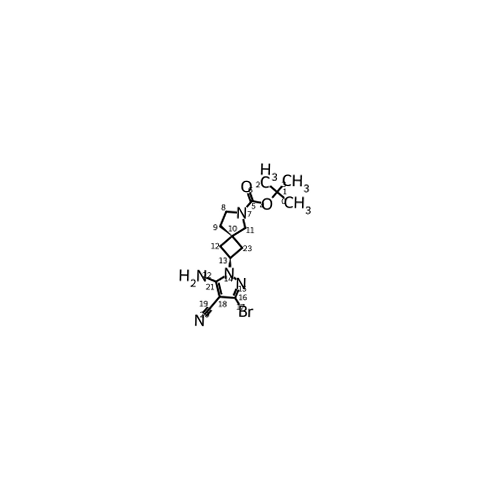 CC(C)(C)OC(=O)N1CC[C@]2(C1)C[C@H](n1nc(Br)c(C#N)c1N)C2